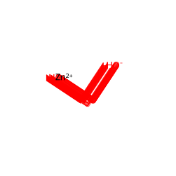 O.O.O.O.O.O.O.O.O.O.O.O.O.O.O.O.O.O.O.O.O.O.O.O.O.O.O.O.O.O.O.O.O.O.O.O.O.O.O.O.O.O.O.O.O.O.O.O.O.O.O.O.O.O.O.O.O.O.O.O.O.O.O.O.O.O.O.O.O.O.O.O.O.O.O.O.O.O.O.O.O.O.O.O.O.O.O.O.O.O.O.O.O.O.O.O.O.O.[OH-].[OH-].[Zn+2]